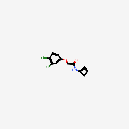 O=C(COc1ccc(Cl)c(Cl)c1)NC12CC(C1)C2